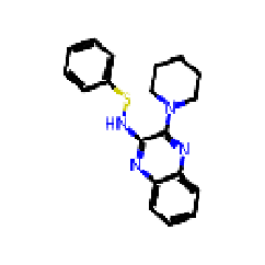 c1ccc(SNc2nc3ccccc3nc2N2CCCCC2)cc1